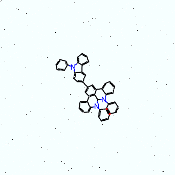 c1ccc(N2c3ccccc3-c3cc(-c4ccc5c(c4)c4ccccc4n5-c4ccccc4)cc4c3C2N(c2ccccc2)c2ccccc2-4)cc1